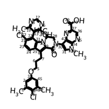 Cc1cc(OCCCc2c3n(c4c(-c5c(C)ncnc5C)c(Cl)ccc24)C(C)CN(c2cn(C)c4ncc(C(=O)O)nc24)C3=O)cc(C)c1Cl